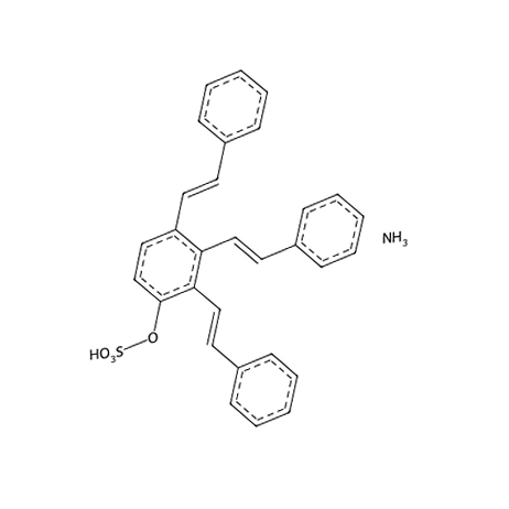 N.O=S(=O)(O)Oc1ccc(/C=C/c2ccccc2)c(/C=C/c2ccccc2)c1/C=C/c1ccccc1